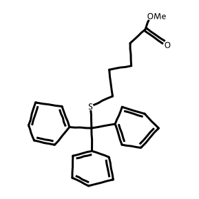 COC(=O)CCCCSC(c1ccccc1)(c1ccccc1)c1ccccc1